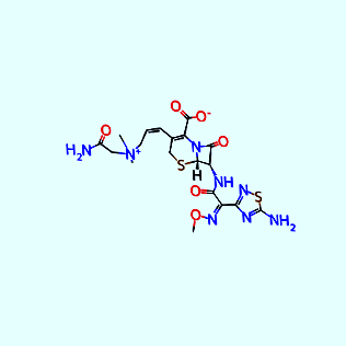 CO/N=C(\C(=O)N[C@@H]1C(=O)N2C(C(=O)[O-])=C(/C=C\C[N+](C)(C)CC(N)=O)CS[C@@H]12)c1nsc(N)n1